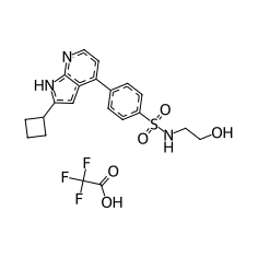 O=C(O)C(F)(F)F.O=S(=O)(NCCO)c1ccc(-c2ccnc3[nH]c(C4CCC4)cc23)cc1